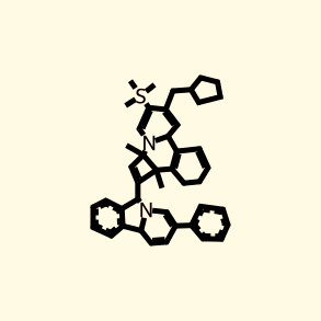 CC12C(C3c4ccccc4C4C=CC(c5ccccc5)=CN43)=CC1(C)N1C=C(S(C)(C)C)C(CC3CCCC3)=CC1C1=C2CCC=C1